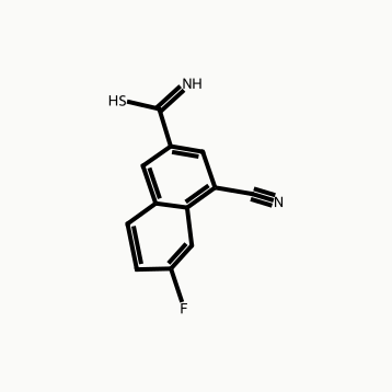 N#Cc1cc(C(=N)S)cc2ccc(F)cc12